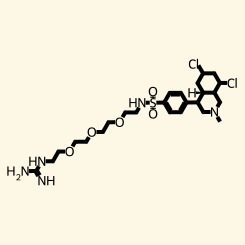 CN1CC(c2ccc(S(=O)(=O)NCCOCCOCCOCCNC(=N)N)cc2)[C@@H]2CC(Cl)CC(Cl)C2C1